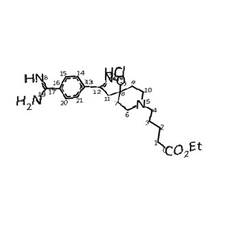 CCOC(=O)CCCCN1CCC2(CC1)CC(c1ccc(C(=N)N)cc1)=NO2.Cl